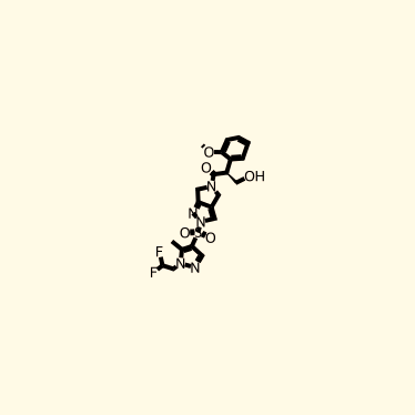 COc1ccccc1[C@@H](CO)C(=O)N1Cc2cn(S(=O)(=O)c3cnn(CC(F)F)c3C)nc2C1